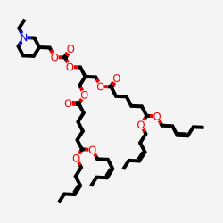 CC/C=C\CCOC(CCCCC(=O)OCC(COC(=O)CCCCC(OCC/C=C\CC)OCC/C=C\CC)COC(=O)OCC1CCCN(CC)C1)OCC/C=C\CC